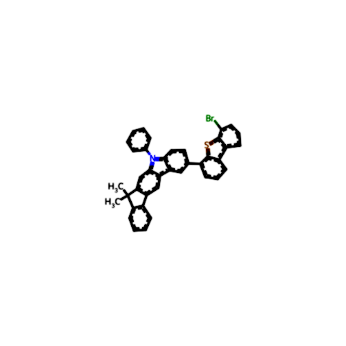 CC1(C)c2ccccc2-c2cc3c4cc(-c5cccc6c5sc5c(Br)cccc56)ccc4n(-c4ccccc4)c3cc21